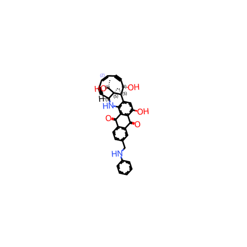 C[C@@H](O)[C@@]12C[C@]13c1cc(O)c4c(c1N[C@H]2C#C/C=C\C#C[C@@H]3O)C(=O)c1ccc(CNc2ccccc2)cc1C4=O